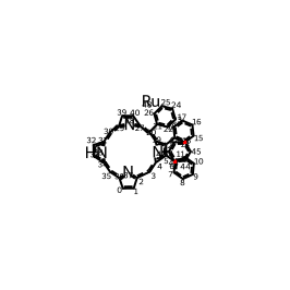 C1=Cc2cc3c(-c4ccccc4)c(-c4ccccc4)c(c(-c4ccccc4)c4nc(cc5ccc(cc1n2)[nH]5)C=C4)n3-c1ccccc1.[Ru]